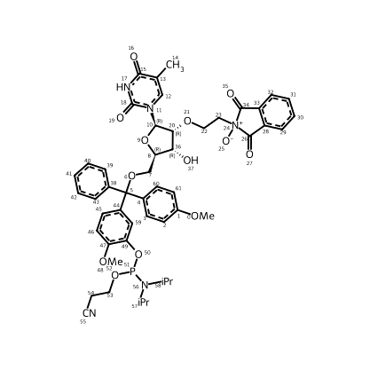 COc1ccc(C(OC[C@H]2O[C@@H](n3cc(C)c(=O)[nH]c3=O)[C@H](OCC[N+]3([O-])C(=O)c4ccccc4C3=O)[C@@H]2O)(c2ccccc2)c2ccc(OC)c(OP(OCCC#N)N(C(C)C)C(C)C)c2)cc1